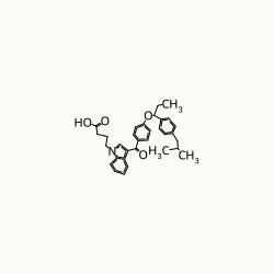 CCC(Oc1ccc(C(=O)c2cn(CCCC(=O)O)c3ccccc23)cc1)c1ccc(CC(C)C)cc1